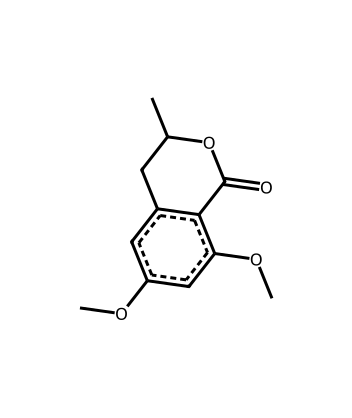 COc1cc2c(c(OC)c1)C(=O)OC(C)C2